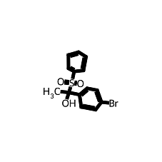 CC(O)(c1ccc(Br)cc1)S(=O)(=O)c1ccccc1